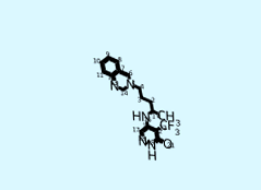 CC(CCCN1C=c2ccccc2=NC1)Nc1cn[nH]c(=O)c1C(F)(F)F